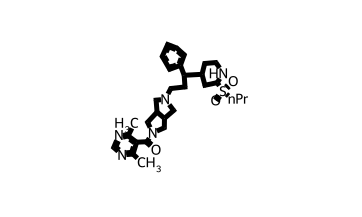 CCCS(=O)(=O)C1CC(C(CCN2CC3CN(C(=O)c4c(C)ncnc4C)CC3C2)c2ccccc2)CCN1